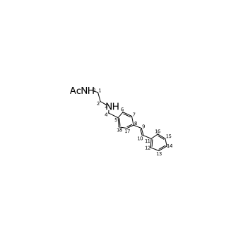 CC(=O)NCCNCc1ccc(C=Cc2ccccc2)cc1